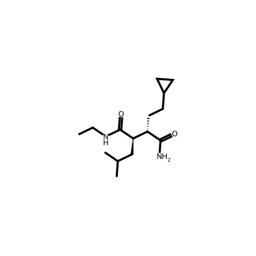 CCNC(=O)[C@H](CC(C)C)[C@H](CCC1CC1)C(N)=O